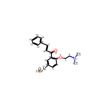 Br.CCN(CC)CCOc1ccc([N+](=O)[O-])cc1C(=O)C=Cc1ccccc1